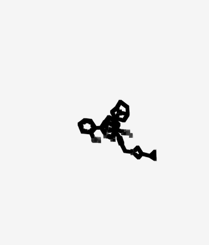 Nc1nnc(-c2ccccc2O)cc1N1CC2CCC(C1)N2c1ccnc(C#CCN2CC(C3CC3)C2)c1